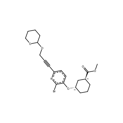 COC(=O)[C@H]1CCC[C@H](Oc2ccc(C#CCOC3CCCCO3)nc2Br)C1